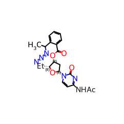 CC[C@H]1O[C@@H](n2ccc(NC(C)=O)nc2=O)C[C@H]1OC(=O)c1ccccc1C(C)N=[N+]=[N-]